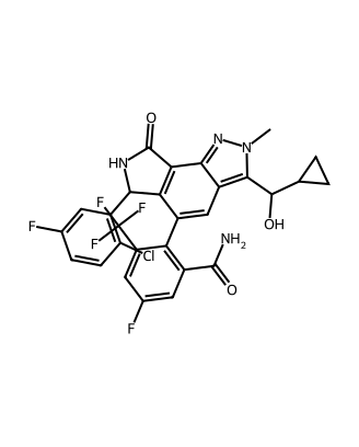 Cn1nc2c3c(c(-c4c(C(N)=O)cc(F)cc4C(F)(F)F)cc2c1C(O)C1CC1)C(c1cc(F)ccc1Cl)NC3=O